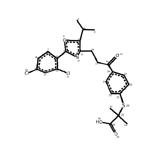 CC(C)c1oc(-c2ccc(Cl)cc2Cl)nc1CCC(=O)c1ccc(SC(C)(C)C(=O)O)cc1